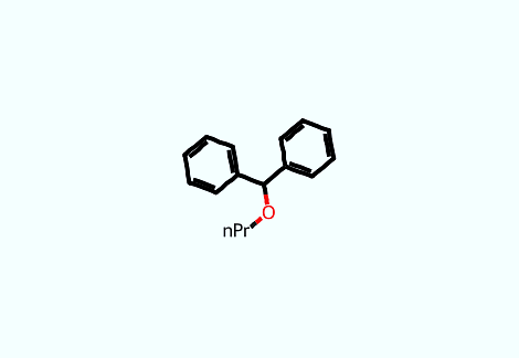 [CH2]CCOC(c1ccccc1)c1ccccc1